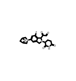 O=CC(=O)C1c2c(F)cc(N3CC4CC(C3)N4)cc2CN1C1CCC(=O)NC1=O